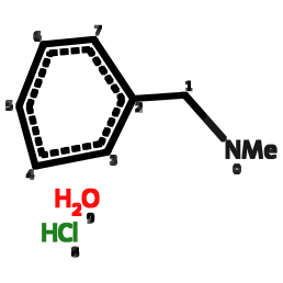 CNCc1ccccc1.Cl.O